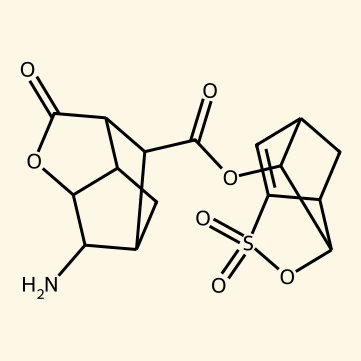 NC1C2CC3C1OC(=O)C3C2C(=O)OC1C2C=C3C(C2)C1OS3(=O)=O